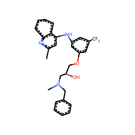 Cc1cc(Nc2cc(OC[C@@H](O)CN(C)Cc3ccccc3)cc(C(F)(F)F)c2)c2ccccc2n1